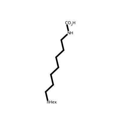 CCCCCCCCCCCCCNC(=O)O